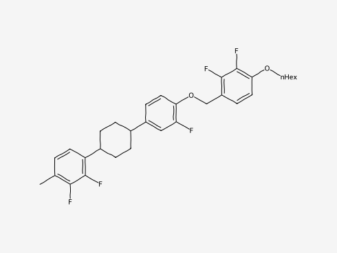 CCCCCCOc1ccc(COc2ccc(C3CCC(c4ccc(C)c(F)c4F)CC3)cc2F)c(F)c1F